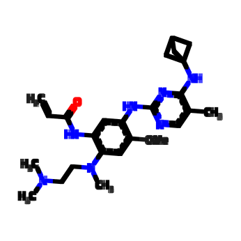 C=CC(=O)Nc1cc(Nc2ncc(C)c(NC34CC(C3)C4)n2)c(OC)cc1N(C)CCN(C)C